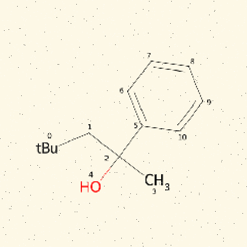 CC(C)(C)CC(C)(O)c1ccccc1